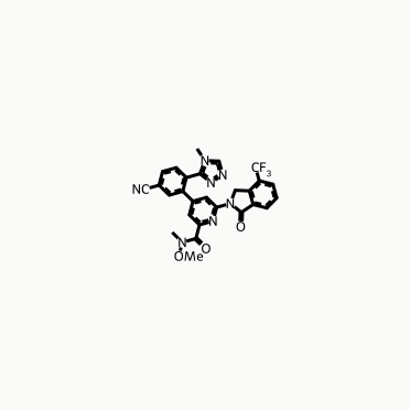 CON(C)C(=O)c1cc(-c2cc(C#N)ccc2-c2nncn2C)cc(N2Cc3c(cccc3C(F)(F)F)C2=O)n1